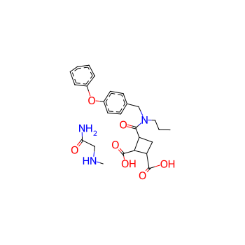 CCCN(Cc1ccc(Oc2ccccc2)cc1)C(=O)C1CC(C(=O)O)C1C(=O)O.CNCC(N)=O